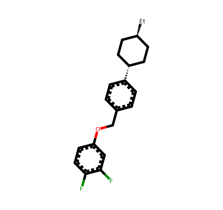 CC[C@H]1CC[C@H](c2ccc(COc3ccc(F)c(F)c3)cc2)CC1